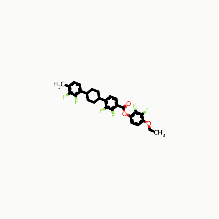 CCOc1ccc(OC(=O)c2ccc(C3CCC(c4ccc(C)c(F)c4F)CC3)c(F)c2F)c(F)c1F